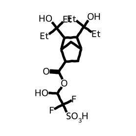 CCC(O)(CC)C1C2CC(C(=O)OC(O)C(F)(F)S(=O)(=O)O)C(C2)C1C(O)(CC)CC